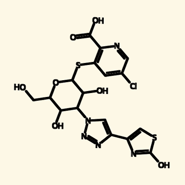 O=C(O)c1ncc(Cl)cc1SC1OC(CO)C(O)C(n2cc(-c3csc(O)n3)nn2)C1O